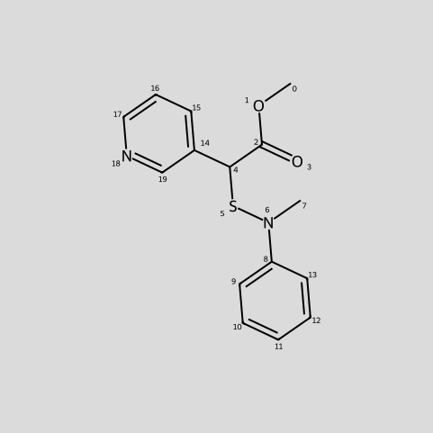 COC(=O)C(SN(C)c1ccccc1)c1cccnc1